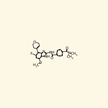 COc1cc(F)c(C2=CCOCC2)c2nc(NC(=O)c3ccc(C(=O)N(C)C)cc3)[nH]c12